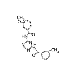 COc1cccc(C(=O)Nc2ncnc(NC(=O)c3cccc(C)c3)n2)c1